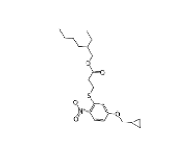 CCCCC(CC)COC(=O)CCSc1cc(OCC2CC2)ccc1[N+](=O)[O-]